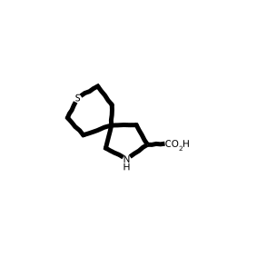 O=C(O)C1CC2(CCSCC2)CN1